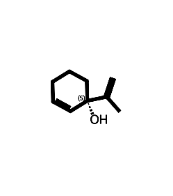 C=C(C)[C@@]1(O)C=CCCC1